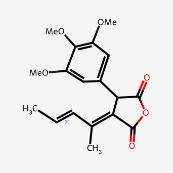 C/C=C/C(C)=C1C(=O)OC(=O)C1c1cc(OC)c(OC)c(OC)c1